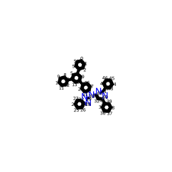 c1ccc(-c2cc(-c3ccccc3)cc(-c3ccc4c(c3)n3c5ccccc5nc3n4-c3cc(-c4ccccc4)nc(-c4ccccc4)n3)c2)cc1